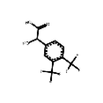 O=C(O)C(O)c1ccc(C(F)(F)F)c(C(F)(F)F)c1